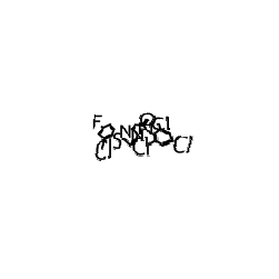 O=c1cc2nc(Sc3ccc(F)cc3Cl)ccn2n1-c1c(Cl)cc(Cl)cc1Cl